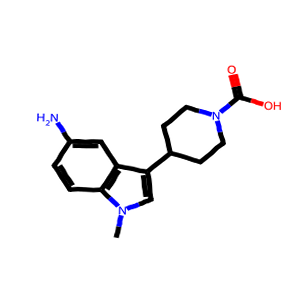 Cn1cc(C2CCN(C(=O)O)CC2)c2cc(N)ccc21